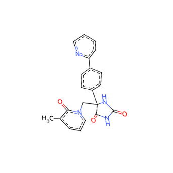 Cc1cccn(CC2(c3ccc(-c4ccccn4)cc3)NC(=O)NC2=O)c1=O